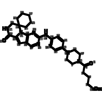 CCCCCCCCCCCCCC(=O)N1CCN(c2ccc(Nc3ncc4cc5n(c4n3)C3(CCCCC3)CNC5=O)nc2)CC1